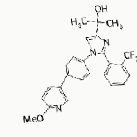 COc1ccc(-c2ccc(-n3cc(C(C)(C)O)nc3-c3ccccc3C(F)(F)F)cc2)cn1